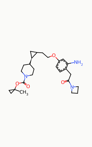 CC1(OC(=O)N2CCC([C@H]3CC3CCOc3ccc(CC(=O)N4CCC4)c(N)c3)CC2)CC1